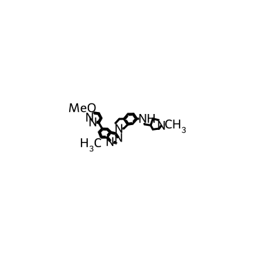 COc1ccc(-c2cc(C)c3ncnc(N4CCc5ccc(NCC6CCN(C)CC6)cc5C4)c3c2)nn1